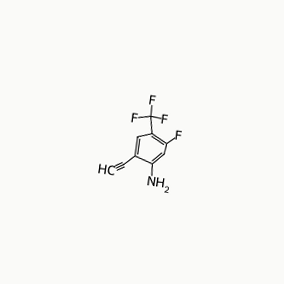 C#Cc1cc(C(F)(F)F)c(F)cc1N